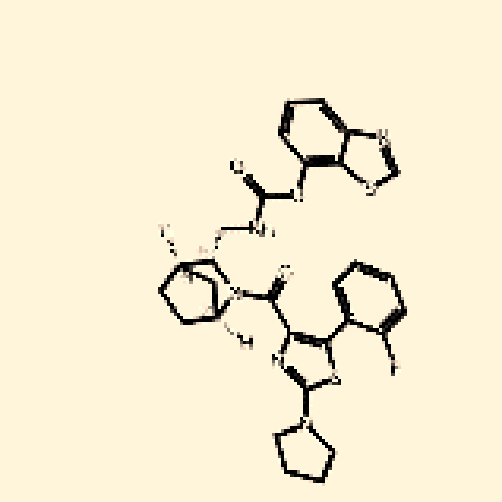 O=C(NC[C@H]1[C@@H]2CC[C@@H](C2)N1C(=O)c1nc(N2CCCC2)sc1-c1ccccc1F)Oc1cccc2ncsc12